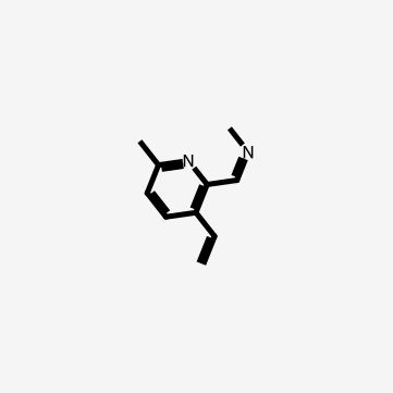 C=Cc1ccc(C)nc1/C=N\C